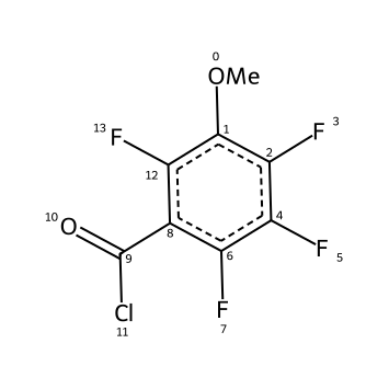 COc1c(F)c(F)c(F)c(C(=O)Cl)c1F